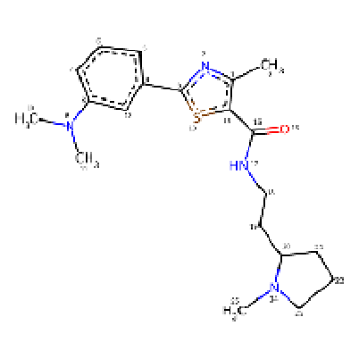 Cc1nc(-c2cccc(N(C)C)c2)sc1C(=O)NCCC1CCCN1C